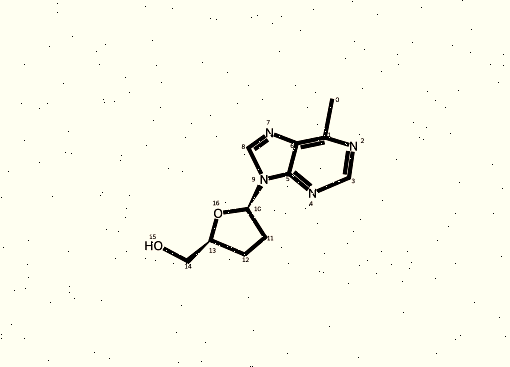 Cc1ncnc2c1ncn2[C@H]1CC[C@@H](CO)O1